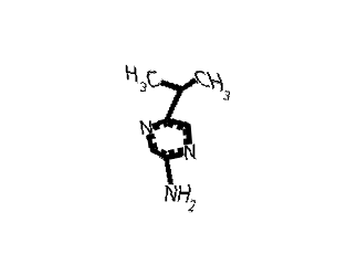 CC(C)c1cnc(N)cn1